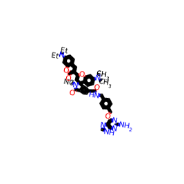 CCN(CC)c1ccc2cc(C3=CC4(c5ccc(N(C)C)cc5O3)c3cc(C(=O)NCc5ccc(COc6nc(N)nc7[nH]cnc67)cc5)ccc3C(=O)N4C#N)c(=O)oc2c1